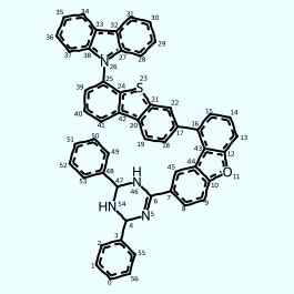 c1ccc(C2N=C(c3ccc4oc5cccc(-c6ccc7c(c6)sc6c(-n8c9ccccc9c9ccccc98)cccc67)c5c4c3)NC(c3ccccc3)N2)cc1